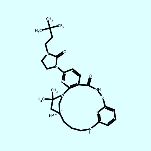 CC1(C)C[C@@H]2CCCNc3cccc(n3)SNC(=O)c3ccc(N4CCN(CCC(C)(C)C(F)(F)F)C4=O)nc3N1C2